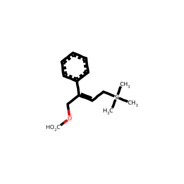 C[Si](C)(C)C/C=C(/COC(=O)O)c1ccccc1